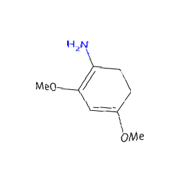 COC1=CC(OC)=C(N)CC1